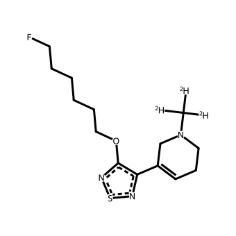 [2H]C([2H])([2H])N1CCC=C(c2nsnc2OCCCCCCF)C1